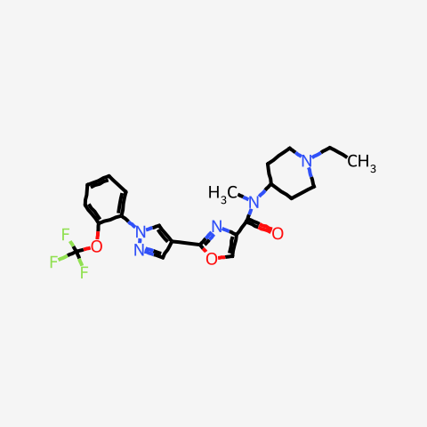 CCN1CCC(N(C)C(=O)c2coc(-c3cnn(-c4ccccc4OC(F)(F)F)c3)n2)CC1